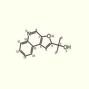 CC(C)(O)c1cc2c(cnc3ccccc32)o1